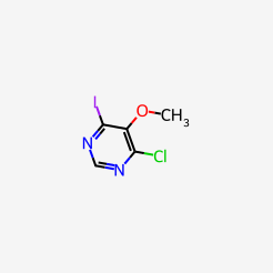 COc1c(Cl)ncnc1I